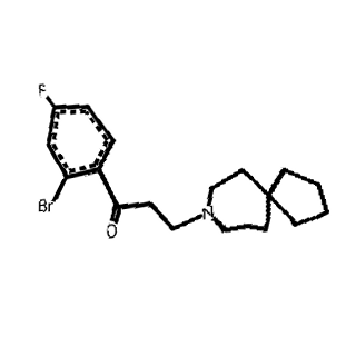 O=C(CCN1CCC2(CCCC2)CC1)c1ccc(F)cc1Br